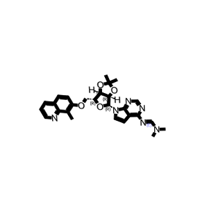 Cc1c(OC[C@H]2O[C@@H](n3ccc4c(/N=C/N(C)C)ncnc43)[C@@H]3OC(C)(C)O[C@@H]32)ccc2cccnc12